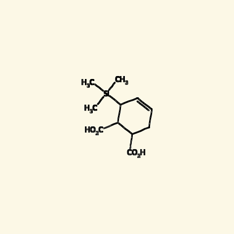 C[Si](C)(C)C1C=CCC(C(=O)O)C1C(=O)O